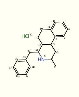 CC1CC2c3ccccc3CCC2C(Cc2ccccc2)N1.Cl